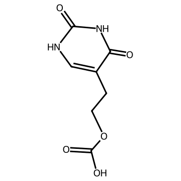 O=C(O)OCCc1c[nH]c(=O)[nH]c1=O